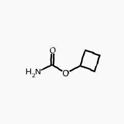 NC(=O)OC1CCC1